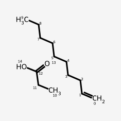 C=CCCCCCCCC.CCC(=O)O